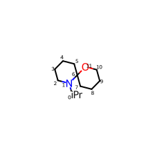 CC(C)N1CCCCC12CCCCO2